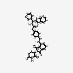 O=C1CCC(N2C(=O)c3cccc(NCc4ccc(CC(=O)NC(c5cccnc5)c5cc6cccnc6o5)cc4)c3C2=O)C(=O)N1